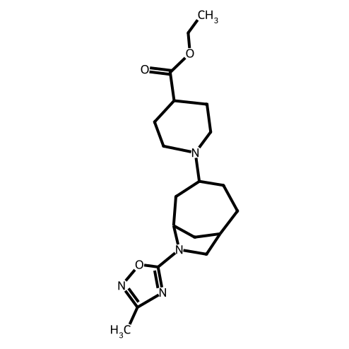 CCOC(=O)C1CCN(C2CCC3CC(C2)N(c2nc(C)no2)C3)CC1